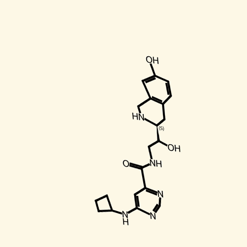 O=C(NCC(O)[C@@H]1Cc2ccc(O)cc2CN1)c1cc(NC2CCC2)ncn1